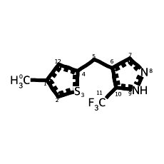 Cc1csc(Cc2cn[nH]c2C(F)(F)F)c1